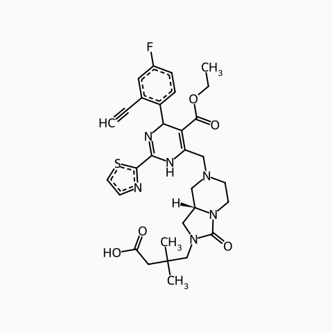 C#Cc1cc(F)ccc1C1N=C(c2nccs2)NC(CN2CCN3C(=O)N(CC(C)(C)CC(=O)O)C[C@@H]3C2)=C1C(=O)OCC